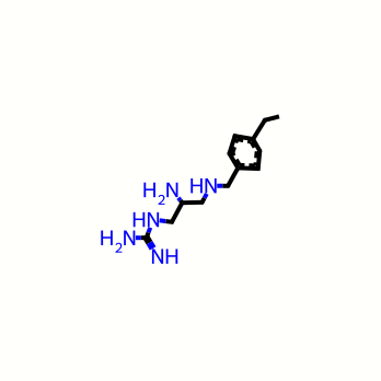 CCc1ccc(CNCC(N)CNC(=N)N)cc1